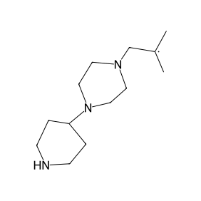 C[C](C)CN1CCN(C2CCNCC2)CC1